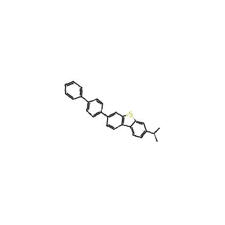 CC(C)c1ccc2c(c1)sc1cc(-c3ccc(-c4ccccc4)cc3)ccc12